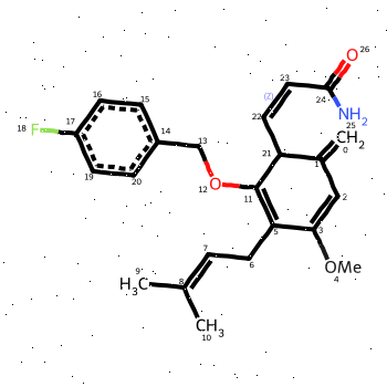 C=C1C=C(OC)C(CC=C(C)C)=C(OCc2ccc(F)cc2)C1/C=C\C(N)=O